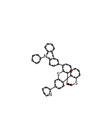 c1ccc(-n2c3ccccc3c3cc(-c4cccc5c4Sc4cc(-c6ccccn6)ccc4C54c5ccccc5Sc5ccccc54)ccc32)cc1